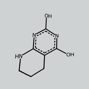 Oc1nc(O)c2c(n1)NCCC2